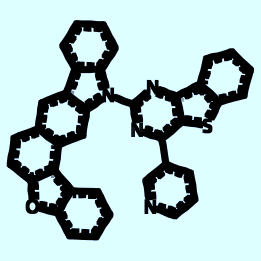 c1cncc(-c2nc(-n3c4ccccc4c4cc5ccc6oc7ccccc7c6c5cc43)nc3c2sc2ccccc23)c1